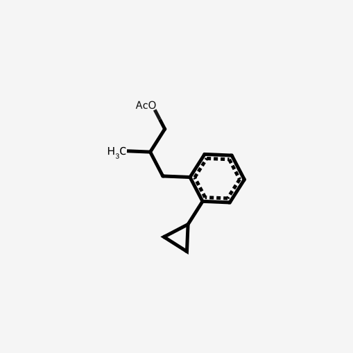 CC(=O)OCC(C)Cc1ccccc1C1CC1